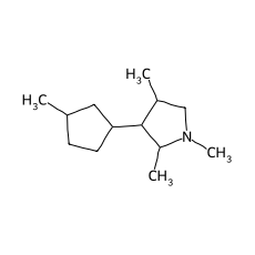 CC1CCC(C2C(C)CN(C)C2C)C1